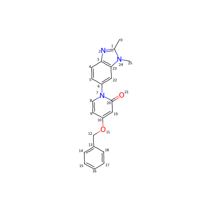 Cc1nc2ccc(-n3ccc(OCc4ccccc4)cc3=O)cc2n1C